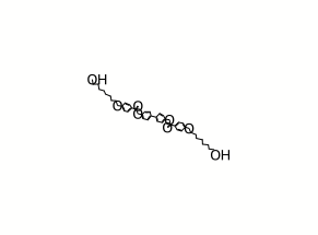 O=C(Oc1ccc(-c2ccc(OC(=O)c3ccc(OCCCCCCCCO)cc3)cc2)cc1)c1ccc(OCCCCCCCCO)cc1